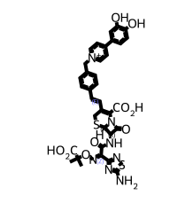 CC(C)(O/N=C(\C(=O)N[C@@H]1C(=O)N2C(C(=O)O)=C(/C=C/c3ccc(C[n+]4ccc(-c5ccc(O)c(O)c5)cc4)cc3)CS[C@H]12)c1nsc(N)n1)C(=O)O